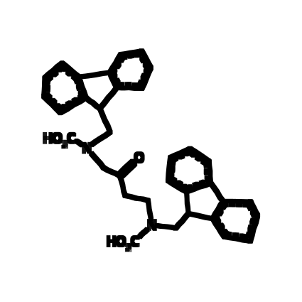 O=C(CCN(CC1c2ccccc2-c2ccccc21)C(=O)O)CN(CC1c2ccccc2-c2ccccc21)C(=O)O